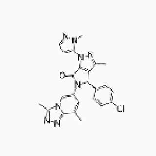 Cc1nn(-c2ccnn2C)c2c1[C@@H](c1ccc(Cl)cc1)N(c1cc(C)c3nnc(C)n3c1)C2=O